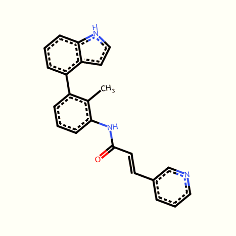 Cc1c(NC(=O)C=Cc2cccnc2)cccc1-c1cccc2[nH]ccc12